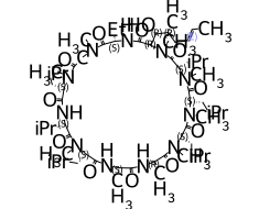 C/C=C/C[C@@H](C)[C@@H](O)[C@@H]1C(=O)N[C@@H](CC)C(=O)N(C)CC(=O)N(C)[C@@H](CC(C)C)C(=O)N[C@@H](C(C)C)C(=O)N(C)[C@@H](CC(C)C)C(=O)N[C@@H](C)C(=O)N[C@H](C)C(=O)N(C)[C@@H](CC(C)C)C(=O)N(C)[C@@H](CC(C)C)C(=O)N(C)[C@@H](C(C)C)C(=O)N1C